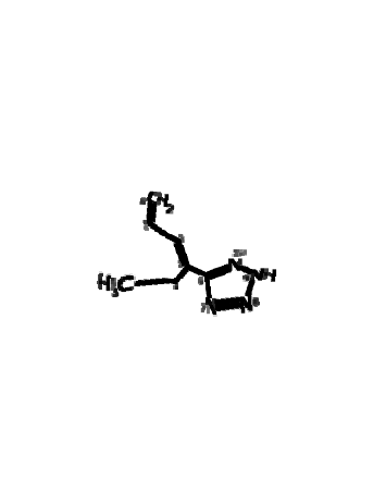 C=C/C=C(\CC)c1nn[nH]n1